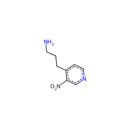 NCCCc1ccncc1[N+](=O)[O-]